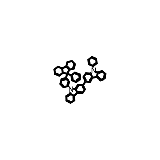 C1=CC2=C(CC1)C1CCC=CC1C2(c1ccccc1)c1cccc(-n2c3ccccc3c3ccc(-c4ccc5c(c4)c4ccccc4n5-c4ccccc4)cc32)c1